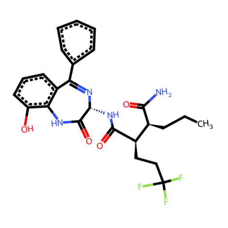 CCC[C@H](C(N)=O)[C@@H](CCC(F)(F)F)C(=O)N[C@H]1N=C(c2ccccc2)c2cccc(O)c2NC1=O